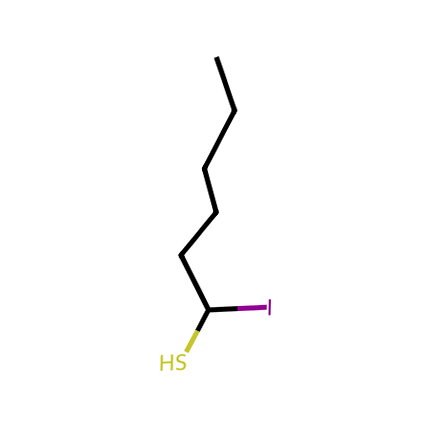 CCCCCC(S)I